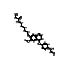 COc1cc2c(Oc3ccc(NC=O)cc3)ccnc2cc1OCCCCCNC(=O)CS